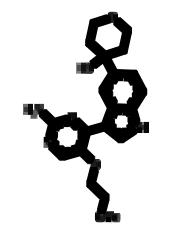 COCCOc1cnc(N)nc1-c1c[nH]c2ccc(C3(O)CCOCC3)cc12